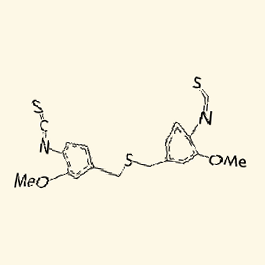 COc1cc(CSCc2ccc(N=C=S)c(OC)c2)ccc1N=C=S